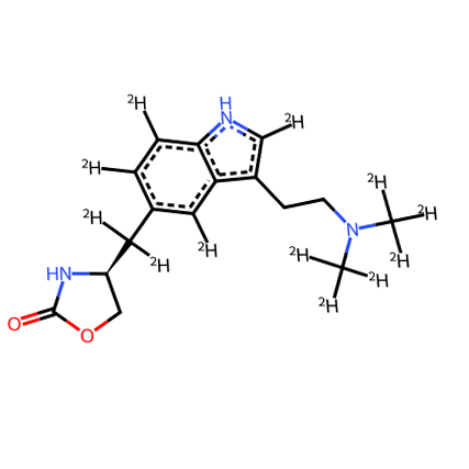 [2H]c1[nH]c2c([2H])c([2H])c(C([2H])([2H])[C@H]3COC(=O)N3)c([2H])c2c1CCN(C([2H])([2H])[2H])C([2H])([2H])[2H]